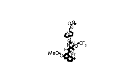 CCc1c(F)ccc2cc(OCOC)cc(-c3ncc4c(OCC(F)(F)F)nc(OC[C@]56CCCN5[C@H](COC(=O)N(C)C)CC6)nc4c3F)c12